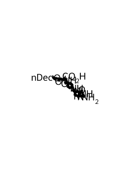 CCCCCCCCCCCCOC(=O)CC[C@H](NC(=O)c1ccc(NCc2cnc3nc(N)[nH]c(=O)c3n2)cc1)C(=O)O